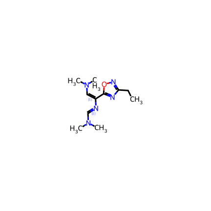 CCc1noc(C(=C\N(C)C)/N=C/N(C)C)n1